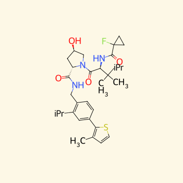 Cc1ccsc1-c1ccc(CNC(=O)[C@@H]2C[C@@H](O)CN2C(=O)[C@@H](NC(=O)C2(F)CC2)C(C)(C)C(C)C)c(C(C)C)c1